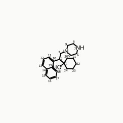 OC1(C(CN2CCNCC2)c2cccc3ccccc23)CCCCC1